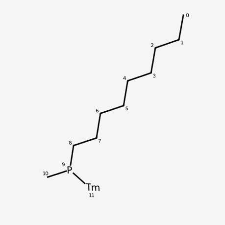 CCCCCCCCC[P](C)[Tm]